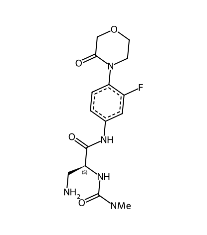 CNC(=O)N[C@@H](CN)C(=O)Nc1ccc(N2CCOCC2=O)c(F)c1